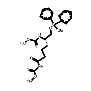 CC(C)(C)OC(=O)NC(=O)CCC[C@@H](CO[Si](c1ccccc1)(c1ccccc1)C(C)(C)C)NC(=O)OC(C)(C)C